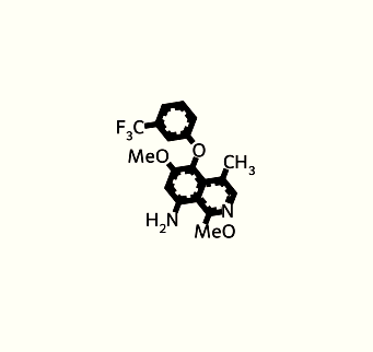 COc1cc(N)c2c(OC)ncc(C)c2c1Oc1cccc(C(F)(F)F)c1